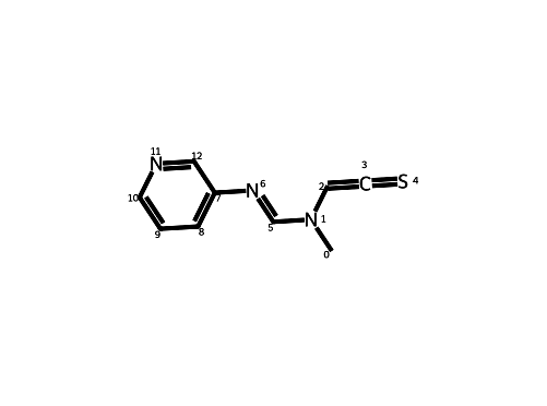 CN(C=C=S)C=Nc1cccnc1